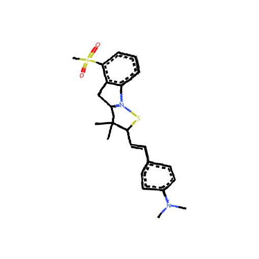 CN(C)c1ccc(C=CC2SN3c4cccc(S(C)(=O)=O)c4CC3C2(C)C)cc1